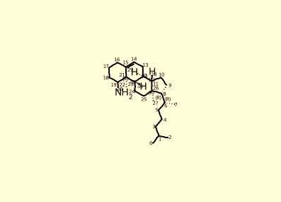 CC(C)CCC[C@@H](C)[C@H]1CC[C@H]2[C@@H]3CC=C4CCCC(N)[C@]4(C)[C@H]3CC[C@]12C